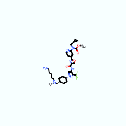 CN(CCCCCN)C[C@H]1CC[C@H](n2cc(NC(=O)c3coc(-c4ccnc(N(CC5CC5)C(=O)OC(C)(C)C)c4)n3)c(C(F)F)n2)CC1